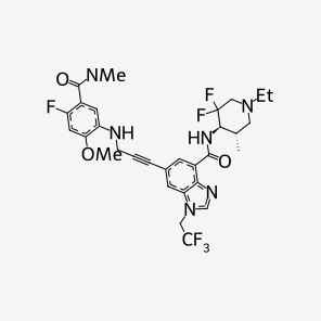 CCN1C[C@H](C)[C@@H](NC(=O)c2cc(C#CCNc3cc(C(=O)NC)c(F)cc3OC)cc3c2ncn3CC(F)(F)F)C(F)(F)C1